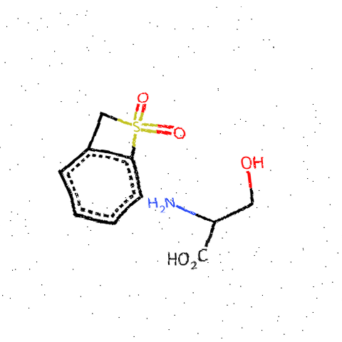 NC(CO)C(=O)O.O=S1(=O)Cc2ccccc21